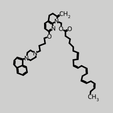 C=C1CCc2ccc(OCCCCN3CCN(c4cccc5ccccc45)CC3)nc2N1COC(=O)CCCCC/C=C\C/C=C\C/C=C\C/C=C\C/C=C\CC